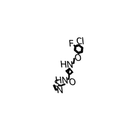 O=C(NCc1nccs1)C12CC(NCCOc3ccc(Cl)c(F)c3)(C1)C2